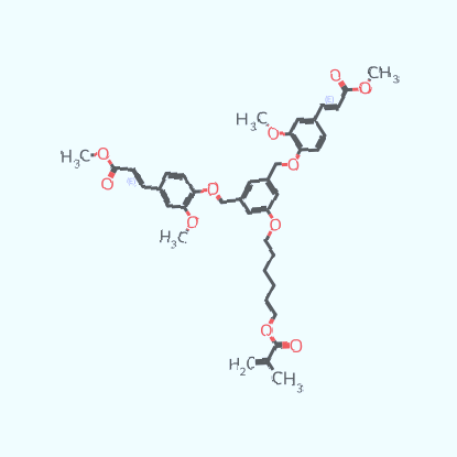 C=C(C)C(=O)OCCCCCCOc1cc(COc2ccc(/C=C/C(=O)OC)cc2OC)cc(COc2ccc(/C=C/C(=O)OC)cc2OC)c1